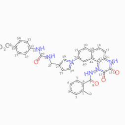 Cc1ccccc1C(=O)Nn1c(=O)c(=O)[nH]c2ccc3ccc(-n4ccc(CNC(=O)Nc5ccc(C(=O)O)cc5)c4)cc3c21